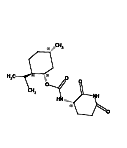 CC(C)[C@H]1CC[C@H](C)C[C@@H]1OC(=O)N[C@H]1CCC(=O)NC1=O